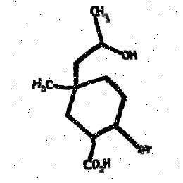 CC(O)CC1(C)CCC(C(C)C)C(C(=O)O)C1